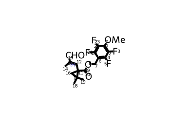 COc1c(F)c(F)c(COC(=O)C2(/C=C(\C)C=O)CC2(C)C)c(F)c1F